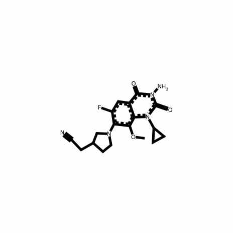 COc1c(N2CCC(CC#N)C2)c(F)cc2c(=O)n(N)c(=O)n(C3CC3)c12